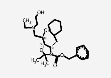 CCN(CCO)C[C@@H](O)[C@H]1OC(C)(C)N(C(=O)OCc2ccccc2)[C@H]1CC1CCCCC1